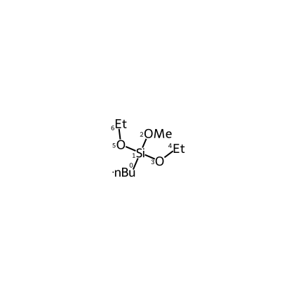 CCC[CH][Si](OC)(OCC)OCC